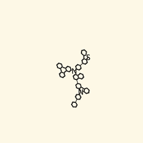 c1ccc(-c2ccc(-n3c4ccccc4c4cc(-c5ccc(N(c6ccc(-c7ccc8sc9ccccc9c8c7)cc6)c6ccc7c8ccccc8c8ccccc8c7c6)c6ccccc56)ccc43)cc2)cc1